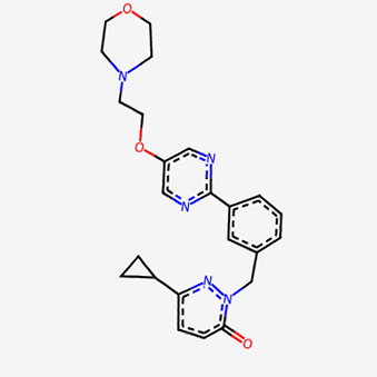 O=c1ccc(C2CC2)nn1Cc1cccc(-c2ncc(OCCN3CCOCC3)cn2)c1